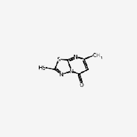 Cc1cc(=O)n2nc(S)sc2n1